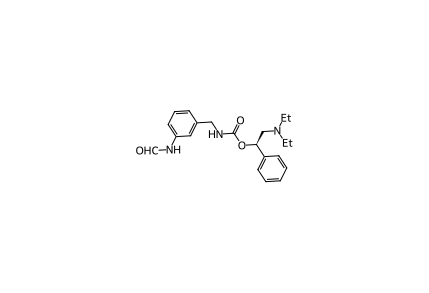 CCN(CC)C[C@H](OC(=O)NCc1cccc(NC=O)c1)c1ccccc1